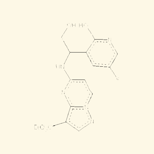 CCOC(=O)c1cnn2ccc(NC(CO)c3cc(F)cnc3O)nc12